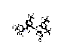 CC/C(=C\N(C)C)C(=O)c1ccc(C(F)(F)F)cc1CN(Cc1cc(C(F)(F)F)cc(C(F)(F)F)c1)c1nnn(C)n1